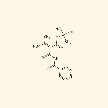 CC(N)=C(C(=O)OC(C)(C)C)C(=S)NC(=O)c1ccccc1